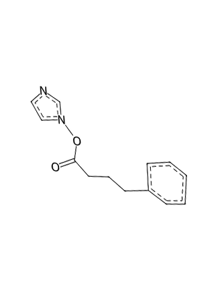 O=C(CCCc1ccccc1)On1ccnc1